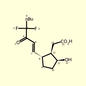 CCCCC(F)(F)C(=O)C=C[C@H]1CC[C@H](O)[C@@H]1CC(=O)O